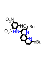 CCCCc1ccc2ccc3c(Nc4c([N+](=O)[O-])cc([N+](=O)[O-])cc4[N+](=O)[O-])cc(CCCC)nc3c2n1